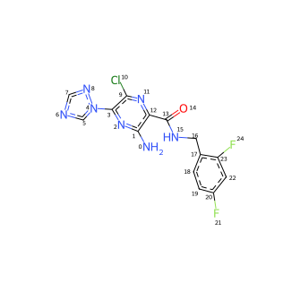 Nc1nc(-n2cncn2)c(Cl)nc1C(=O)NCc1ccc(F)cc1F